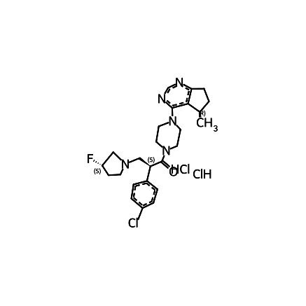 C[C@@H]1CCc2ncnc(N3CCN(C(=O)[C@H](CN4CC[C@H](F)C4)c4ccc(Cl)cc4)CC3)c21.Cl.Cl